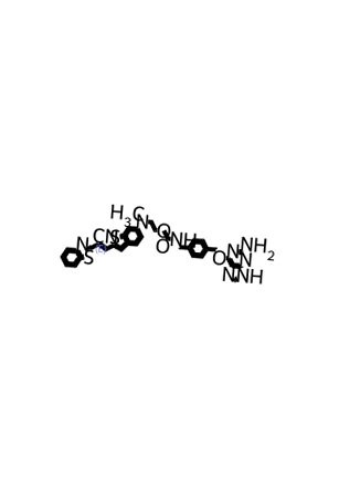 CN(CCOC(=O)NCc1ccc(COc2nc(N)nc3[nH]cnc23)cc1)c1ccc2cc(/C=C(\C#N)c3nc4ccccc4s3)sc2c1